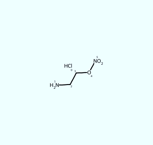 Cl.NCCO[N+](=O)[O-]